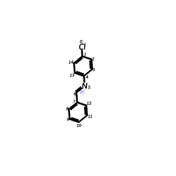 Clc1ccc(/N=C/c2ccccc2)cc1